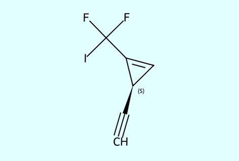 C#C[C@@H]1C=C1C(F)(F)I